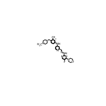 CN1CCN(Cc2ccc(Nc3ccnc(/C=N/Nc4ncc(F)c(N5CCOCC5)n4)c3)cc2C(F)(F)F)CC1